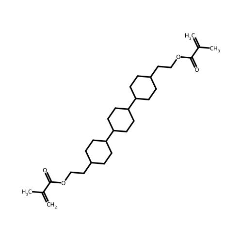 C=C(C)C(=O)OCCC1CCC(C2CCC(C3CCC(CCOC(=O)C(=C)C)CC3)CC2)CC1